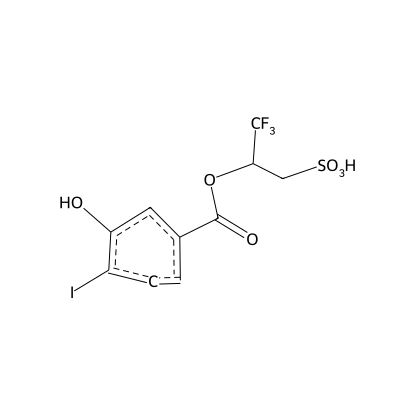 O=C(OC(CS(=O)(=O)O)C(F)(F)F)c1ccc(I)c(O)c1